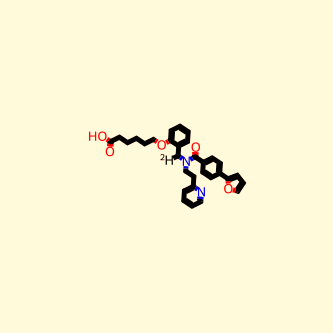 [2H]C(c1ccccc1OCCCCCC(=O)O)N(CCc1ccccn1)C(=O)c1ccc(-c2ccco2)cc1